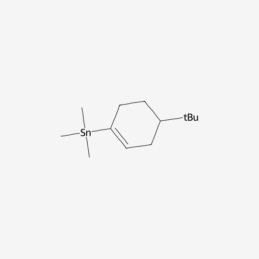 CC(C)(C)C1CC=[C]([Sn]([CH3])([CH3])[CH3])CC1